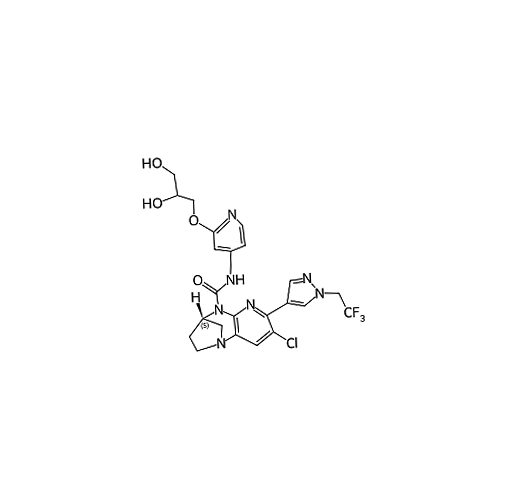 O=C(Nc1ccnc(OCC(O)CO)c1)N1c2nc(-c3cnn(CC(F)(F)F)c3)c(Cl)cc2N2CC[C@H]1C2